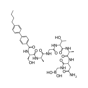 CCCCc1ccc(-c2ccc(C(=O)N[C@H](CO)C(=O)N[C@H](C)C(=O)NCC(=O)NC(C(=O)N[C@@H](C)C(=O)NC(CC(N)=O)C(=O)NCB(O)O)C(C)O)cc2)cc1